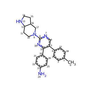 Cc1ccc(-c2cnc(N3CCC4NCCC4C3)nc2-c2ccc(N)cc2)cc1